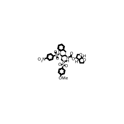 COc1ccc(S(=O)(=O)N(C)C[C@@H](NS(=O)(=O)c2ccc([N+](=O)[O-])cc2)[C@H](Cc2ccccc2)NC(=O)O[C@H]2CO[C@H]3OCC[C@H]32)cc1